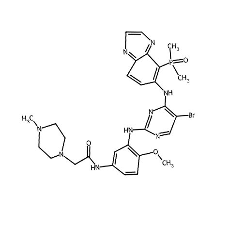 COc1ccc(NC(=O)CN2CCN(C)CC2)cc1Nc1ncc(Br)c(Nc2ccc3nccnc3c2P(C)(C)=O)n1